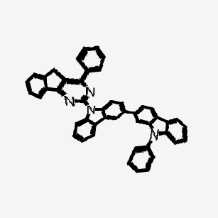 c1ccc(-c2nc(-n3c4ccccc4c4cc(-c5ccc6c7ccccc7n(-c7ccccc7)c6c5)ccc43)nc3c2Cc2ccccc2-3)cc1